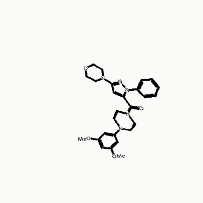 COc1cc(OC)cc(N2CCN(C(=O)c3cc(N4CCOCC4)nn3-c3ccccc3)CC2)c1